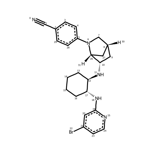 N#Cc1ccc(N2C[C@@H]3C[C@H](N[C@@H]4CCCC[C@H]4Nc4cc(Br)ccn4)[C@H]2C3)cc1